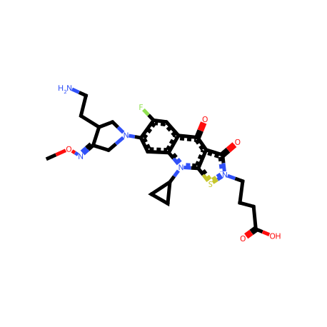 CON=C1CN(c2cc3c(cc2F)c(=O)c2c(=O)n(CCCC(=O)O)sc2n3C2CC2)CC1CCN